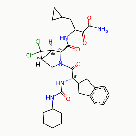 NC(=O)C(=O)C(CC1CC1)NC(=O)[C@@H]1[C@H]2[C@@H](CN1C(=O)[C@@H](NC(=O)NC1CCCCC1)C1Cc3ccccc3C1)C2(Cl)Cl